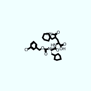 O=C(N[C@@H](CC1CCCCC1)C(=O)NC(CC1CC2(CCCCC2)NC1=O)C(=O)O)OCc1cccc(Cl)c1